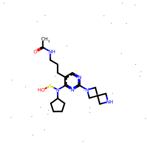 CC(=O)NCCCc1cnc(N2CC3(CNC3)C2)nc1N(SO)C1CCCC1